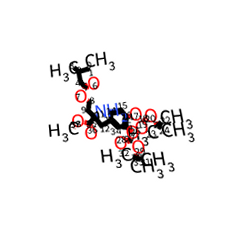 CCC(C)CC(=O)OCC[C@@](N)(Cc1ccc(OC(=O)OC(C)(C)C)c(OC(=O)OC(C)(C)C)c1)C(=O)OC